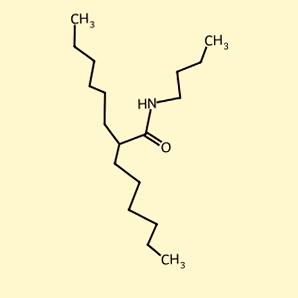 CCCCCCC(CCCCCC)C(=O)NCCCC